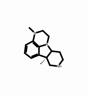 CN1CCN2c3c1cccc3[C@]1(C)CNCCC21